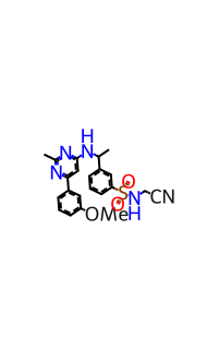 COc1cccc(-c2cc(NC(C)c3cccc(S(=O)(=O)NCC#N)c3)nc(C)n2)c1